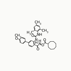 COc1ccc(-c2ccc(C(=O)NOC(=O)C3CCCCCCC3)c(NC(=O)Nc3c(C)cc(C)cc3C)c2)cc1